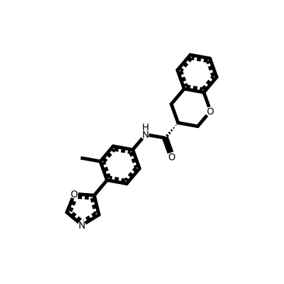 Cc1cc(NC(=O)[C@H]2COc3ccccc3C2)ccc1-c1cnco1